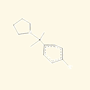 CC(C)(c1ccc(Br)cc1)N1CCCC1